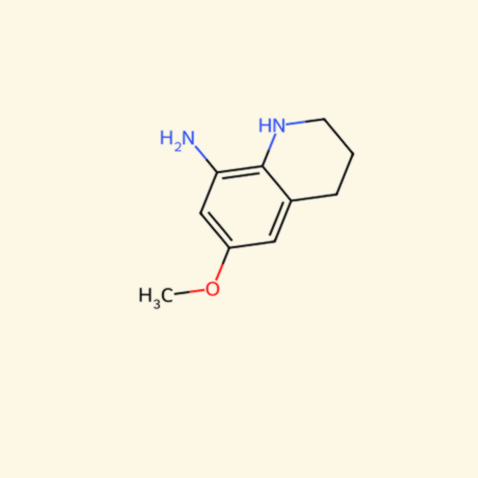 COc1cc(N)c2c(c1)CCCN2